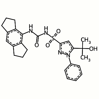 CC(C)(O)c1cc(S(=O)(=O)NC(=O)Nc2c3c(cc4c2CCC4)CCC3)nn1-c1ccccc1